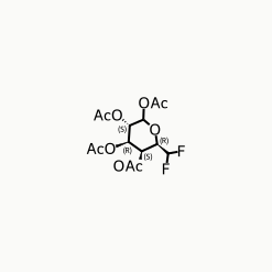 CC(=O)OC1O[C@@H](C(F)F)[C@@H](OC(C)=O)[C@@H](OC(C)=O)[C@@H]1OC(C)=O